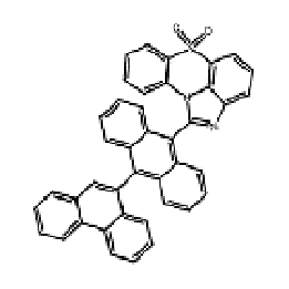 O=S1(=O)c2ccccc2-n2c(-c3c4ccccc4c(-c4cc5ccccc5c5ccccc45)c4ccccc34)nc3cccc1c32